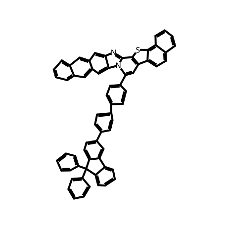 c1ccc(C2(c3ccccc3)c3ccccc3-c3cc(-c4ccc(-c5ccc(-c6cc7c8ccc9ccccc9c8sc7c7nc8cc9cc%10ccccc%10cc9cc8n67)cc5)cc4)ccc32)cc1